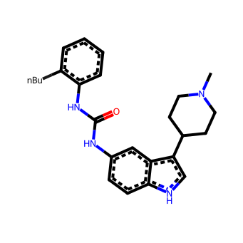 CCCCc1ccccc1NC(=O)Nc1ccc2[nH]cc(C3CCN(C)CC3)c2c1